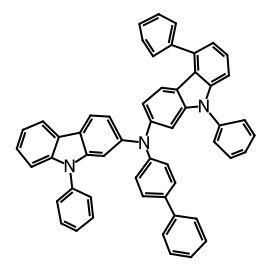 c1ccc(-c2ccc(N(c3ccc4c5ccccc5n(-c5ccccc5)c4c3)c3ccc4c5c(-c6ccccc6)cccc5n(-c5ccccc5)c4c3)cc2)cc1